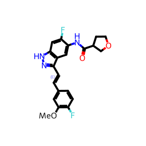 COc1cc(/C=C/c2n[nH]c3cc(F)c(NC(=O)C4CCOC4)cc23)ccc1F